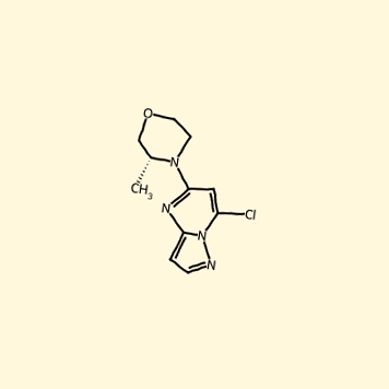 C[C@@H]1COCCN1c1cc(Cl)n2nccc2n1